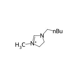 CCCCCN1C=[N+](C)CC1